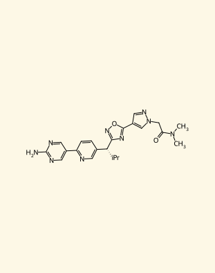 CC(C)[C@H](c1ccc(-c2cnc(N)nc2)nc1)c1noc(-c2cnn(CC(=O)N(C)C)c2)n1